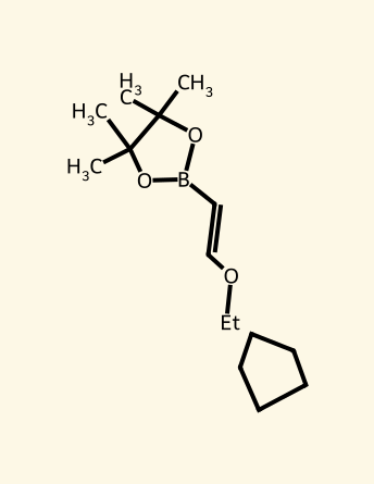 C1CCCC1.CCOC=CB1OC(C)(C)C(C)(C)O1